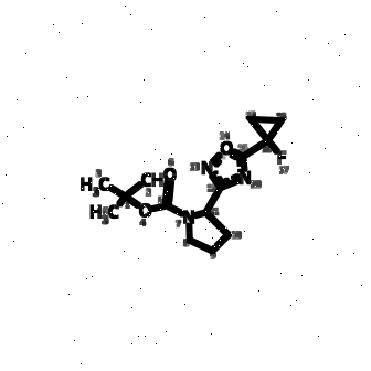 CC(C)(C)OC(=O)N1CCCC1c1noc(C2(F)CC2)n1